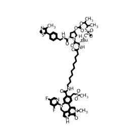 Cc1ncsc1-c1ccc(CNC(=O)[C@@H]2C[C@@H](OC(=O)OC(C)C(C)SS(C)(=O)=O)CN2C(=O)[C@@H](NC(=O)CCCCCCCCCCNC(=O)c2cc3c(cc2CS(C)(=O)=O)-c2cn(C)c(=O)c4[nH]cc(c24)CN3c2ncc(F)cc2F)C(C)(C)C)cc1